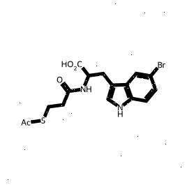 CC(=O)SCCC(=O)NC(Cc1c[nH]c2ccc(Br)cc12)C(=O)O